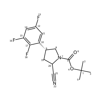 CC(C)(C)OC(=O)N1C[C@@H](c2cc(F)cc(F)c2F)CC1C#N